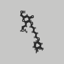 C=CCc1oc(CO)cc(=O)c1OCCCCCOc1ccc(F)c(F)c1